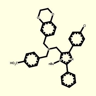 CCCCn1c(-c2ccccc2)nc(-c2ccc(Cl)cc2)c1CN(Cc1ccc(C(=O)O)cc1)Cc1ccc2c(c1)OCCO2